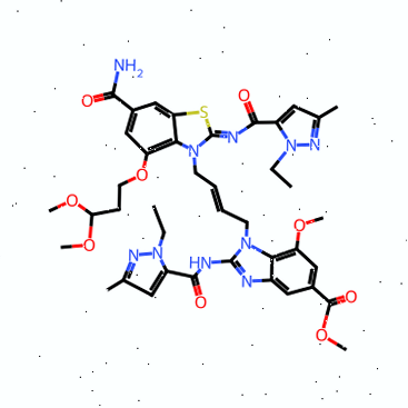 CCn1nc(C)cc1C(=O)/N=c1\sc2cc(C(N)=O)cc(OCCC(OC)OC)c2n1C/C=C/Cn1c(NC(=O)c2cc(C)nn2CC)nc2cc(C(=O)OC)cc(OC)c21